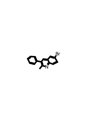 Cc1nc2ccc(Br)cc2cc1-c1ccccc1